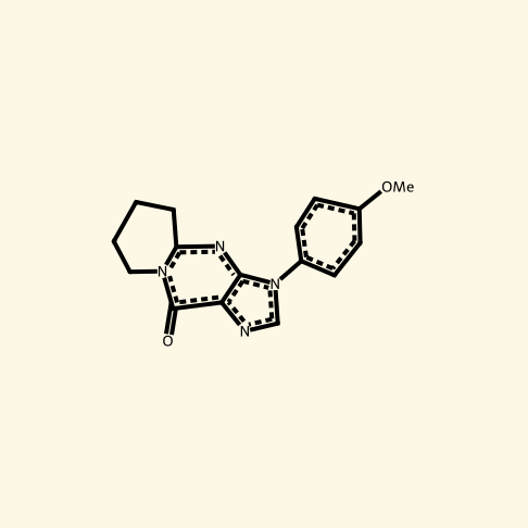 COc1ccc(-n2cnc3c(=O)n4c(nc32)CCCC4)cc1